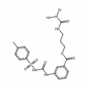 CCN(S)C(=O)NCCCOC(=O)c1cccc(NC(=O)NS(=O)(=O)c2ccc(C)cc2)c1